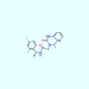 CC1c2ncccc2NC(=O)N1CC(=O)N[C@@H](C)c1ccc(F)cc1F